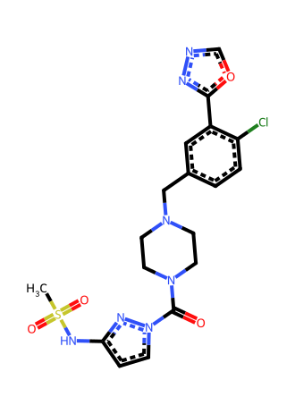 CS(=O)(=O)Nc1ccn(C(=O)N2CCN(Cc3ccc(Cl)c(-c4nnco4)c3)CC2)n1